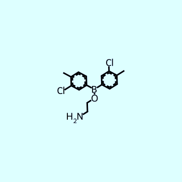 Cc1ccc(B(OCCN)c2ccc(C)c(Cl)c2)cc1Cl